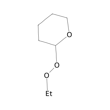 CCOOC1CCCCO1